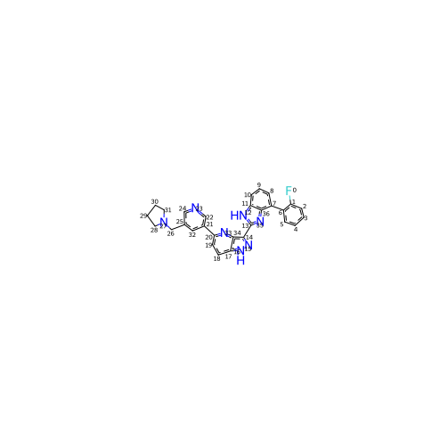 Fc1ccccc1-c1cccc2[nH]c(-c3n[nH]c4ccc(-c5cncc(CN6CCCC6)c5)nc34)nc12